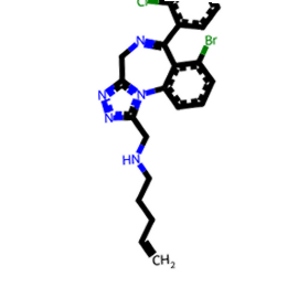 C=CCCCNCc1nnc2n1-c1cccc(Br)c1C(c1ccccc1Cl)=NC2